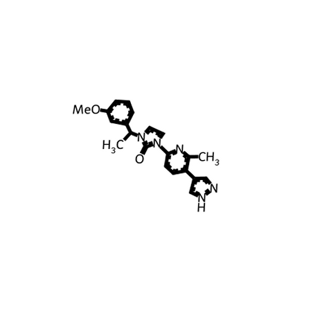 COc1cccc(C(C)n2ccn(-c3ccc(-c4cn[nH]c4)c(C)n3)c2=O)c1